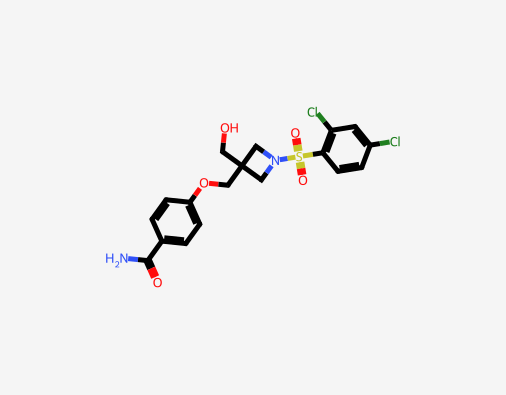 NC(=O)c1ccc(OCC2(CO)CN(S(=O)(=O)c3ccc(Cl)cc3Cl)C2)cc1